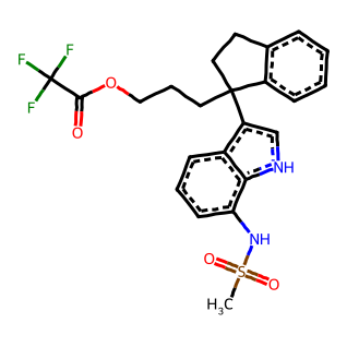 CS(=O)(=O)Nc1cccc2c(C3(CCCOC(=O)C(F)(F)F)CCc4ccccc43)c[nH]c12